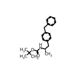 C[C@H](Cc1ccc(Cc2ccccc2)cc1)NC(=O)OC(C)(C)C